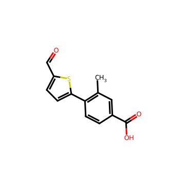 Cc1cc(C(=O)O)ccc1-c1ccc(C=O)s1